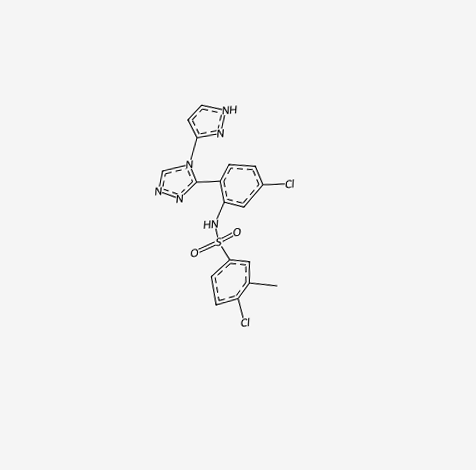 Cc1cc(S(=O)(=O)Nc2cc(Cl)ccc2-c2nncn2-c2cc[nH]n2)ccc1Cl